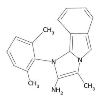 Cc1cccc(C)c1-n1c(N)c(C)n2cc3ccccc3c12